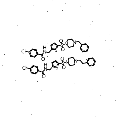 O=C(NCc1ccc(S(=O)(=O)N2CCN(CCc3ccccc3)CC2)s1)c1ccc(Cl)cc1.O=C(NCc1ccc(S(=O)(=O)N2CCN(Cc3ccccc3)CC2)s1)c1ccc(Cl)cc1